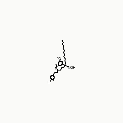 CCCCCCCCCCCCC(C#N)(CCCC(CCc1ccc(Cl)cc1)/N=N/C)c1cccc(OC)c1.Cl